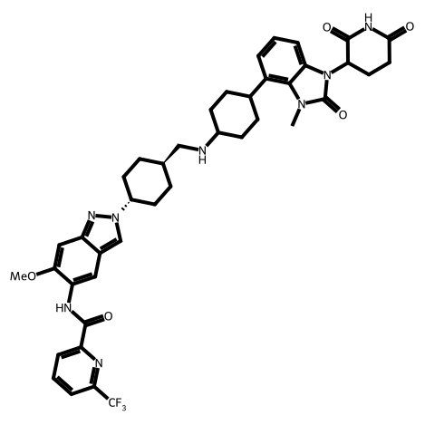 COc1cc2nn([C@H]3CC[C@H](CNC4CCC(c5cccc6c5n(C)c(=O)n6C5CCC(=O)NC5=O)CC4)CC3)cc2cc1NC(=O)c1cccc(C(F)(F)F)n1